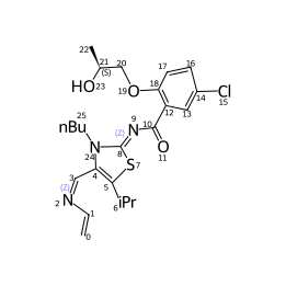 C=C/N=C\c1c(C(C)C)s/c(=N\C(=O)c2cc(Cl)ccc2OC[C@H](C)O)n1CCCC